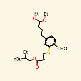 CCCCC(CC)COC(=O)CCSc1cc(CCCC(OCC)OCC)ccc1C=O